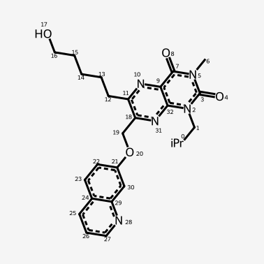 CC(C)Cn1c(=O)n(C)c(=O)c2nc(CCCCCO)c(COc3ccc4cccnc4c3)nc21